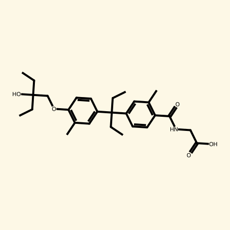 CCC(O)(CC)COc1ccc(C(CC)(CC)c2ccc(C(=O)NCC(=O)O)c(C)c2)cc1C